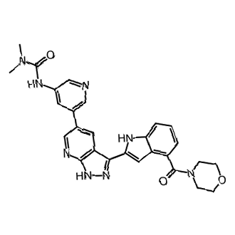 CN(C)C(=O)Nc1cncc(-c2cnc3[nH]nc(-c4cc5c(C(=O)N6CCOCC6)cccc5[nH]4)c3c2)c1